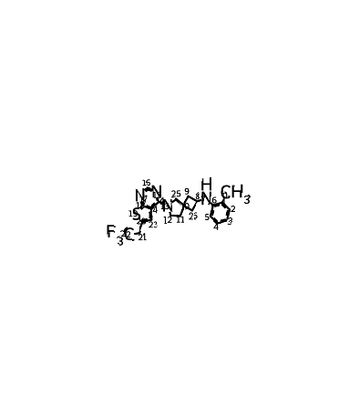 Cc1ccccc1NC1CC2(CCN(c3ncnc4sc(CC(F)(F)F)cc34)C2)C1